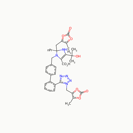 CCCC1(Cc2oc(=O)oc2C)NC(C(C)(C)O)=C(C(=O)O)N1Cc1ccc(-c2ccccc2-c2nnnn2Cc2oc(=O)oc2C)cc1